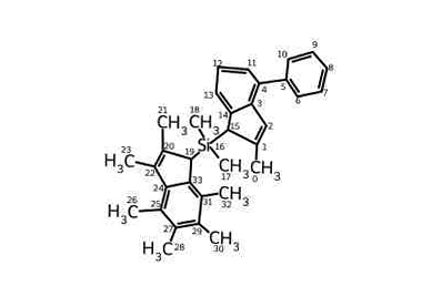 CC1=Cc2c(-c3ccccc3)cccc2C1[Si](C)(C)C1C(C)=C(C)c2c(C)c(C)c(C)c(C)c21